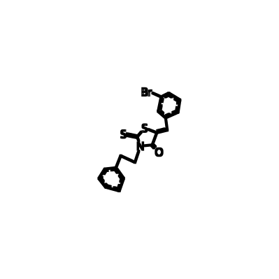 O=C1C(=Cc2cccc(Br)c2)SC(=S)N1CCc1ccccc1